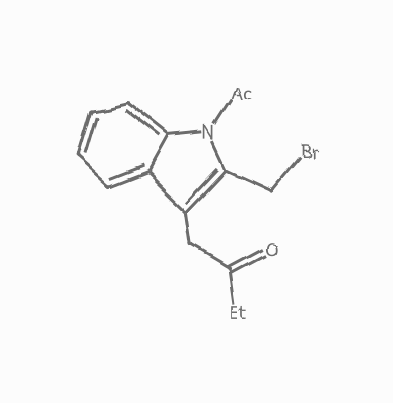 CCC(=O)Cc1c(CBr)n(C(C)=O)c2ccccc12